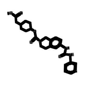 O=C(O)CC1CCC(OC(=O)N2CCc3cc(NC(=O)Nc4cccnc4)ccc3C2)CC1